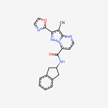 N#Cc1c(-c2ncco2)nn2c(C(=O)NC3Cc4ccccc4C3)ccnc12